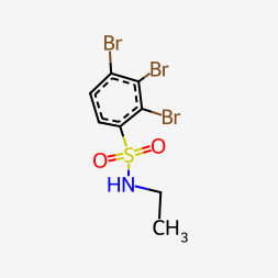 CCNS(=O)(=O)c1ccc(Br)c(Br)c1Br